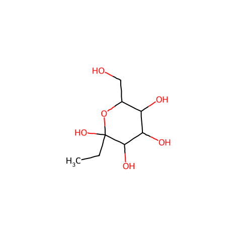 CCC1(O)OC(CO)C(O)C(O)C1O